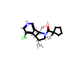 C[C@H]1CN(C(=O)C2(C)CCCC2)[C@@H]2c3cncc(Cl)c3C21